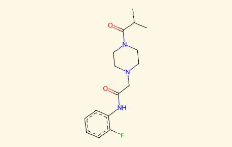 CC(C)C(=O)N1CCN(CC(=O)Nc2ccccc2F)CC1